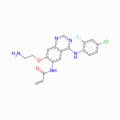 C=CC(=O)Nc1cc2c(Nc3ccc(Cl)cc3F)ncnc2cc1OCCN